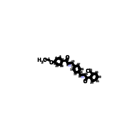 CCOc1ccc(C(=O)/C=C/c2ccc(/C=C/C(=O)c3ccccc3Cl)cc2)cc1